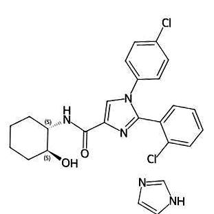 O=C(N[C@H]1CCCC[C@@H]1O)c1cn(-c2ccc(Cl)cc2)c(-c2ccccc2Cl)n1.c1c[nH]cn1